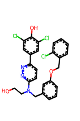 OCCN(Cc1cccc(OCc2ccccc2Cl)c1)c1ccc(-c2cc(Cl)c(O)c(Cl)c2)nn1